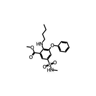 CCCCNc1c(Oc2ccccc2)cc(S(=O)(=O)NC)cc1C(=O)OC